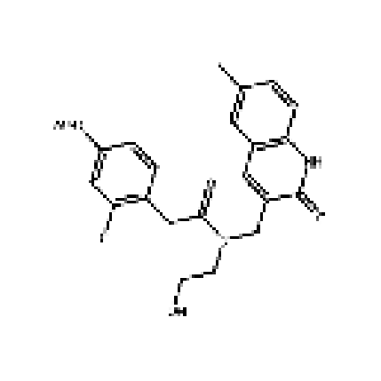 COc1ccc(CC(=O)N(CCO)Cc2cc3cc(C)ccc3[nH]c2=O)c(Cl)c1